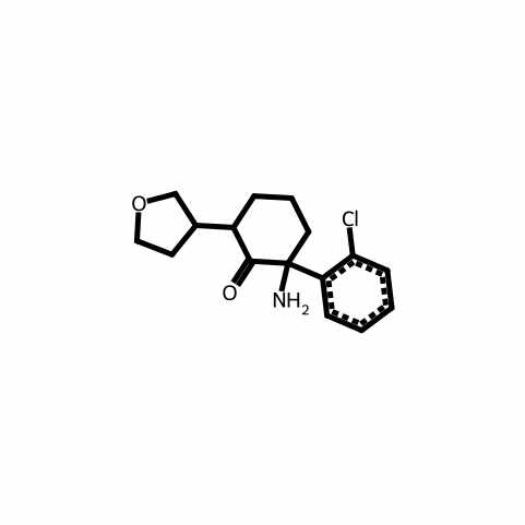 NC1(c2ccccc2Cl)CCCC(C2CCOC2)C1=O